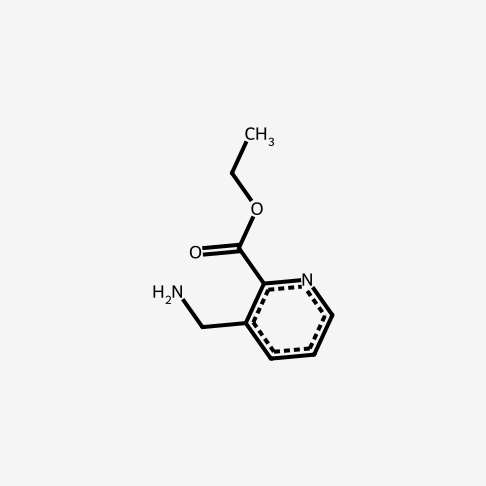 CCOC(=O)c1ncccc1CN